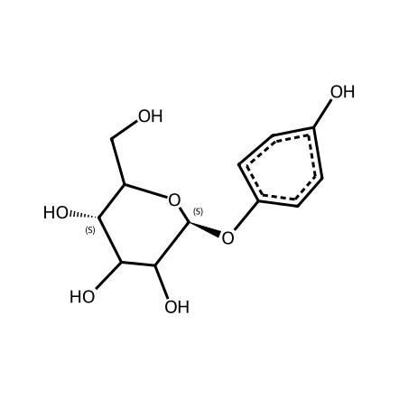 OCC1O[C@@H](Oc2ccc(O)cc2)C(O)C(O)[C@@H]1O